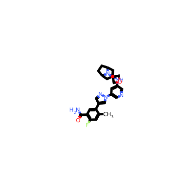 Cc1cc(F)c(C(N)=O)cc1-c1cnn(-c2cncc(NC3CC4CCC(C3)N4C3COC3)c2)c1